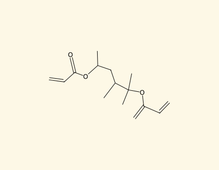 C=CC(=C)OC(C)(C)C(C)CC(C)OC(=O)C=C